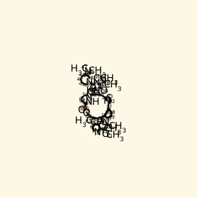 CCn1c(-c2cccnc2[C@H](C)OC)c2c3cc(ccc31)-c1csc(n1)C[C@H](NC(=O)[C@H](C(C)C)N(C)C(=O)N1CCCC[C@H](N(C)C)C1)C(=O)N1CCCC(C=O)(COCC(C)(C)C2)N1